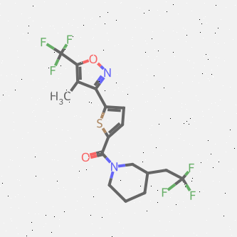 Cc1c(-c2ccc(C(=O)N3CCCC(CC(F)(F)F)C3)s2)noc1C(F)(F)F